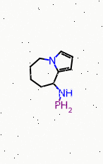 PNC1CCCCn2cccc21